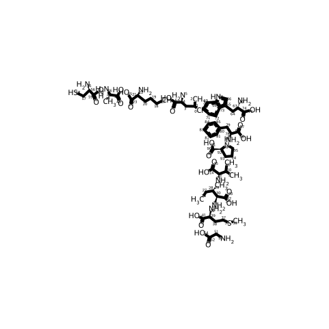 CC(C)C[C@H](N)C(=O)O.CC(C)[C@H](N)C(=O)O.CCCC[C@H](N)C(=O)O.CC[C@H](C)[C@H](N)C(=O)O.CSCC[C@H](N)C(=O)O.C[C@H](N)C(=O)O.NCC(=O)O.N[C@@H](CS)C(=O)O.N[C@@H](Cc1c[nH]c2ccccc12)C(=O)O.N[C@@H](Cc1ccccc1)C(=O)O.O=C(O)[C@@H]1CCCN1